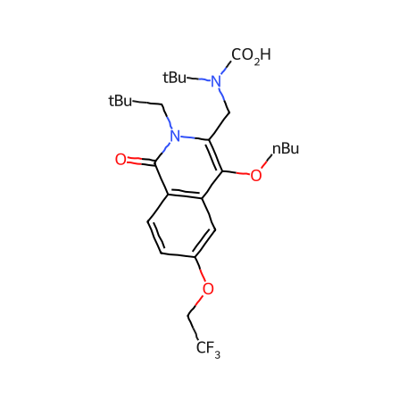 CCCCOc1c(CN(C(=O)O)C(C)(C)C)n(CC(C)(C)C)c(=O)c2ccc(OCC(F)(F)F)cc12